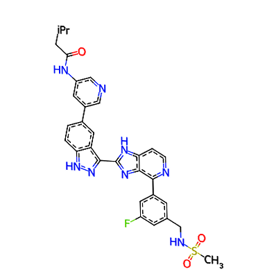 CC(C)CC(=O)Nc1cncc(-c2ccc3[nH]nc(-c4nc5c(-c6cc(F)cc(CNS(C)(=O)=O)c6)nccc5[nH]4)c3c2)c1